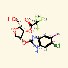 O=C(O[C@@H]1[C@@H](CO)OC[C@H]1Oc1nc2cc(I)c(Cl)cc2[nH]1)C(F)(F)F